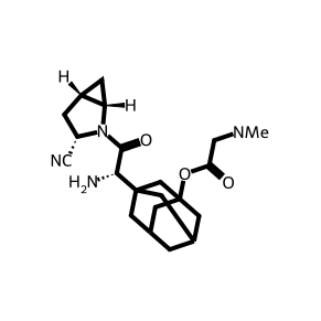 CNCC(=O)OC12CC3CC(C1)CC([C@H](N)C(=O)N1[C@H](C#N)C[C@@H]4C[C@@H]41)(C3)C2